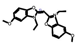 CCN1/C(=C\c2oc3ccc(OC)cc3[n+]2CC)Oc2ccc(OC)cc21